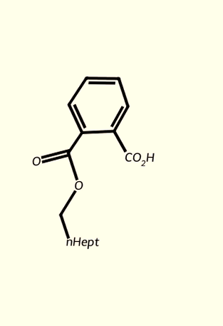 CCCCCCCCOC(=O)c1ccccc1C(=O)O